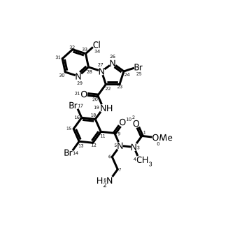 COC(=O)N(C)N(CCN)C(=O)c1cc(Br)cc(Br)c1NC(=O)c1cc(Br)nn1-c1ncccc1Cl